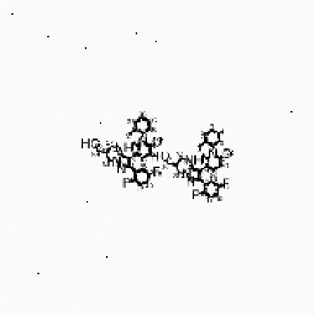 Cc1ccccc1-n1nc(-c2c(-c3cc(F)ccc3F)nn3c2NCC(CO)C3)ccc1=O.Cc1ccccc1-n1nc(-c2c(-c3cc(F)ccc3F)nn3c2NCC(CO)C3)ccc1=O